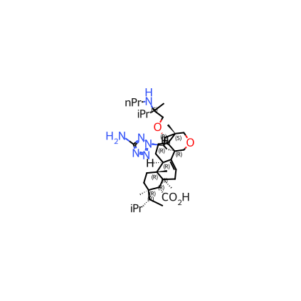 CCCN[C@](C)(CO[C@H]1[C@H](n2nnc(N)n2)C[C@@]23COC[C@]1(C)[C@@H]2CC[C@H]1C3=CC[C@@]2(C)[C@H](C(=O)O)[C@@](C)([C@H](C)C(C)C)CC[C@]12C)C(C)C